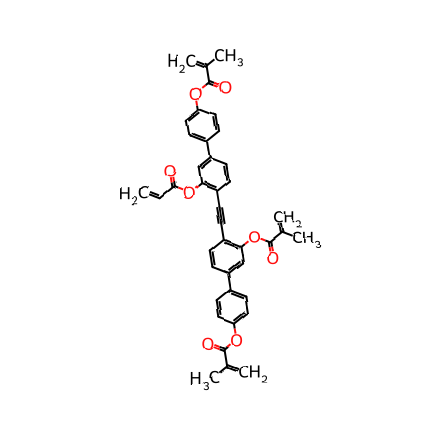 C=CC(=O)Oc1cc(-c2ccc(OC(=O)C(=C)C)cc2)ccc1C#Cc1ccc(-c2ccc(OC(=O)C(=C)C)cc2)cc1OC(=O)C(=C)C